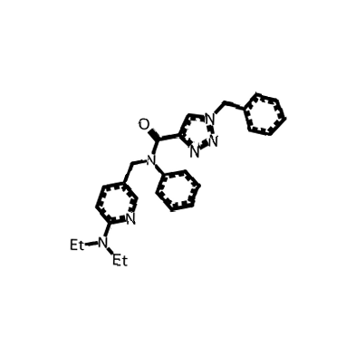 CCN(CC)c1ccc(CN(C(=O)c2cn(Cc3ccccc3)nn2)c2ccccc2)cn1